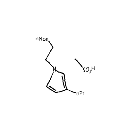 CCCCCCCCCCCn1ccc(CCC)c1.CS(=O)(=O)O